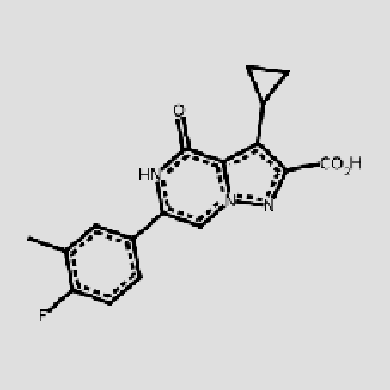 Cc1cc(-c2cn3nc(C(=O)O)c(C4CC4)c3c(=O)[nH]2)ccc1F